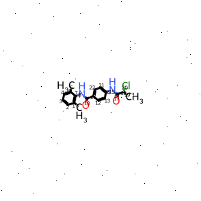 Cc1cccc(C)c1NC(=O)c1ccc(NC(=O)C(C)Cl)cc1